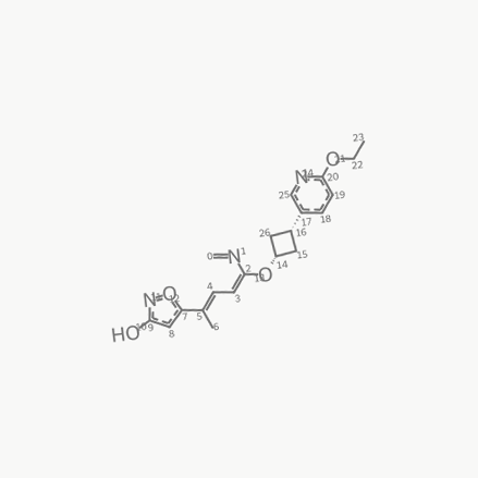 C=N/C(=C\C=C(/C)c1cc(O)no1)O[C@H]1C[C@@H](c2ccc(OCC)nc2)C1